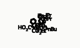 CC(C)[Si](/C(C(=O)O)=C(/C(=O)O)C1CCCCC1)(C(C)C)C(C)C.CCCCC(CC)COC(=O)/C=C\C(=O)O[Si](C(C)C)(C(C)C)C(C)C